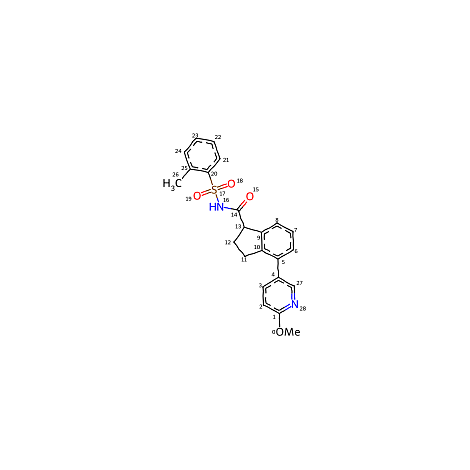 COc1ccc(-c2cccc3c2CCC3C(=O)NS(=O)(=O)c2ccccc2C)cn1